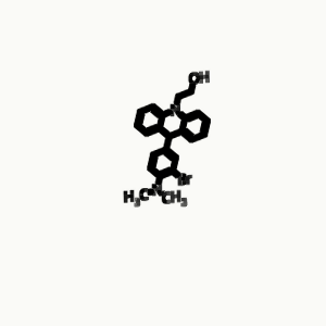 CN(C)c1ccc(C2c3ccccc3N(CCO)c3ccccc32)cc1Br